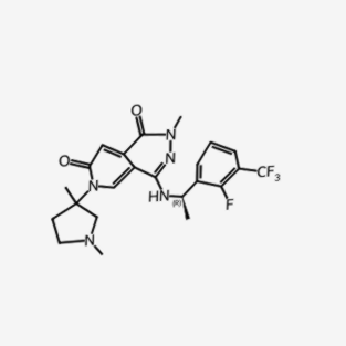 C[C@@H](Nc1nn(C)c(=O)c2cc(=O)n(C3(C)CCN(C)C3)cc12)c1cccc(C(F)(F)F)c1F